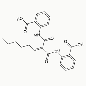 CCCCCC=C(C(=O)Nc1ccccc1C(=O)O)C(=O)Nc1ccccc1C(=O)O